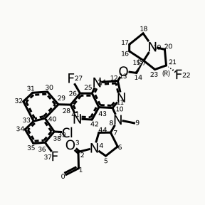 C=CC(=O)N1CCC(N(C)c2nc(OC[C@@]34CCCN3C[C@H](F)C4)nc3c(F)c(-c4cccc5ccc(F)c(Cl)c45)ncc23)C1